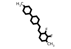 CC1CCC(C2CCC(CCC3CCC(C)C(F)C3F)CC2)CC1